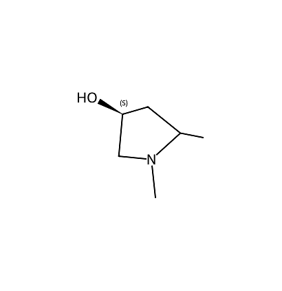 CC1C[C@H](O)CN1C